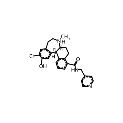 CN1CCc2cc(Cl)c(O)cc2[C@H]2c3cccc(C(=O)NCc4ccncc4)c3CC[C@@H]21